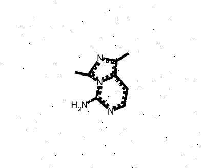 Cc1nc(C)n2c(N)nccc12